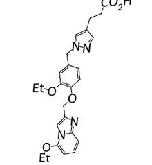 CCOc1cc(Cn2cc(CCC(=O)O)cn2)ccc1OCc1cn2c(OCC)cccc2n1